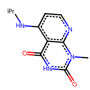 CC(C)Nc1ccnc2c1c(=O)[nH]c(=O)n2C